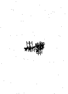 N=C(NCCSc1nonc1/C(=N/O)Nc1ccc(F)c(Br)c1)NC1CC1